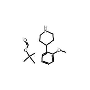 CC(C)(C)OC=O.COc1ccccc1C1CCNCC1